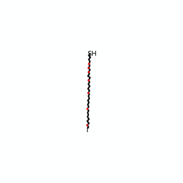 SCCCCCCCCCCCCCCCCCCCCCCCCCCCCCCCCCCCCI